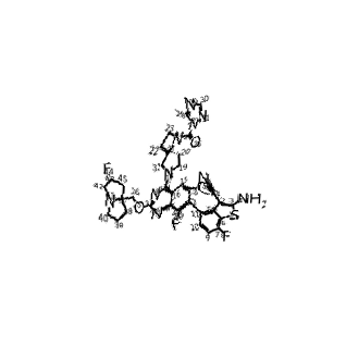 N#Cc1c(N)sc2c(F)ccc(-c3c(Cl)cc4c(N5CC[C@@]6(CCN6C(=O)n6cncn6)C5)nc(OC[C@@]56CCCN5C[C@H](F)C6)nc4c3F)c12